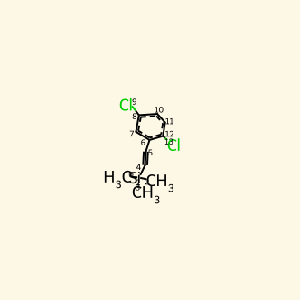 C[Si](C)(C)C#Cc1cc(Cl)ccc1Cl